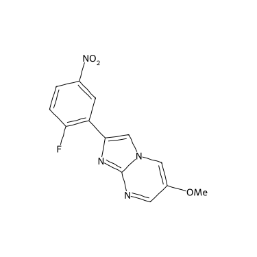 COc1cnc2nc(-c3cc([N+](=O)[O-])ccc3F)cn2c1